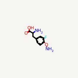 NOc1ccc(CC(N)C(=O)O)cc1F